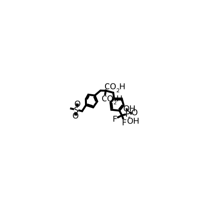 CS(=O)(=O)Cc1ccc(CC(Cc2ccc(C(F)(F)P(=O)(O)O)cc2)(C(=O)O)C(=O)O)cc1